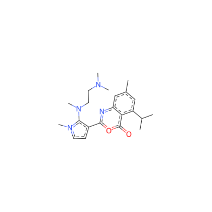 Cc1cc(C(C)C)c2c(=O)oc(-c3ccn(C)c3N(C)CCN(C)C)nc2c1